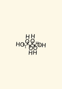 OC[C@H](O)[C@H](O)[C@H](O)[C@@H](O)CO